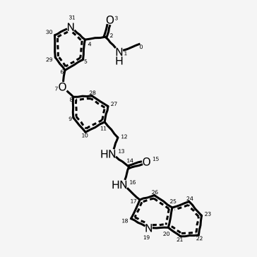 CNC(=O)c1cc(Oc2ccc(CNC(=O)Nc3cnc4ccccc4c3)cc2)ccn1